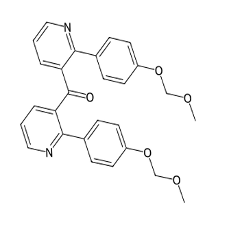 COCOc1ccc(-c2ncccc2C(=O)c2cccnc2-c2ccc(OCOC)cc2)cc1